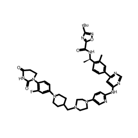 Cc1cc(-c2cc(Nc3ccc(N4CCN(CC5CCN(c6ccc(N7CCC(=O)NC7=O)c(F)c6)CC5)CC4)cn3)ncn2)ccc1[C@@H](C)NC(=O)c1nc(C(C)(C)C)no1